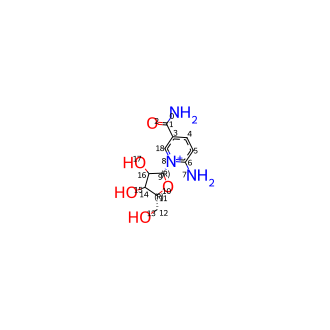 NC(=O)c1ccc(N)[n+]([C@@H]2O[C@H](CO)C(O)C2O)c1